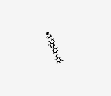 CC(C)(C)OC(=O)N1CCc2nc(-c3ccc(/C=C/c4cccc(Cl)c4)cc3F)ncc2C1